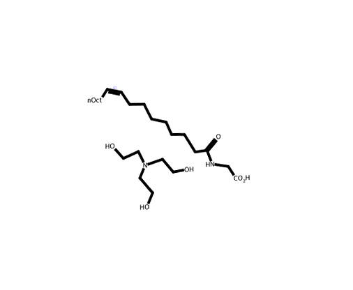 CCCCCCCC/C=C\CCCCCCCC(=O)NCC(=O)O.OCCN(CCO)CCO